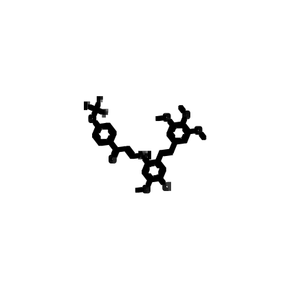 COc1cc(NC=CC(=O)c2ccc(OC(F)(F)F)cc2)c(C=Cc2cc(OC)c(OC)c(OC)c2)cc1Cl